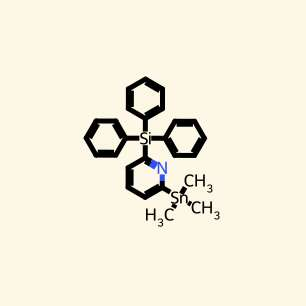 [CH3][Sn]([CH3])([CH3])[c]1cccc([Si](c2ccccc2)(c2ccccc2)c2ccccc2)n1